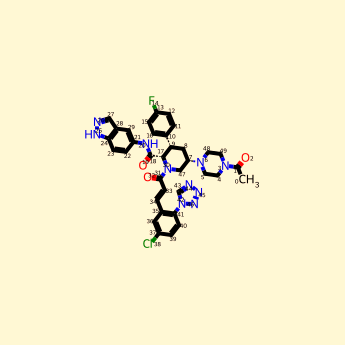 CC(=O)N1CCN([C@H]2C[C@@H](c3ccc(F)cc3)[C@@H](C(=O)Nc3ccc4[nH]ncc4c3)N(C(=O)/C=C/c3cc(Cl)ccc3-n3cnnn3)C2)CC1